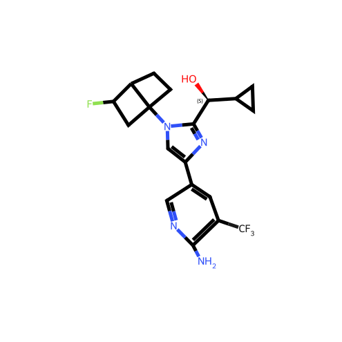 Nc1ncc(-c2cn(C34CCC3C(F)C4)c([C@@H](O)C3CC3)n2)cc1C(F)(F)F